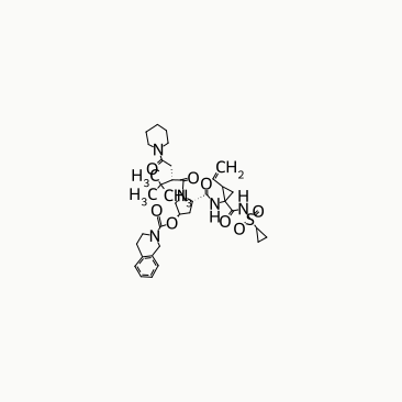 C=CC1CC1(NC(=O)[C@@H]1C[C@@H](OC(=O)N2CCc3ccccc3C2)CN1C(=O)[C@@H](CC(=O)N1CCCCC1)C(C)(C)C)C(=O)NS(=O)(=O)C1CC1